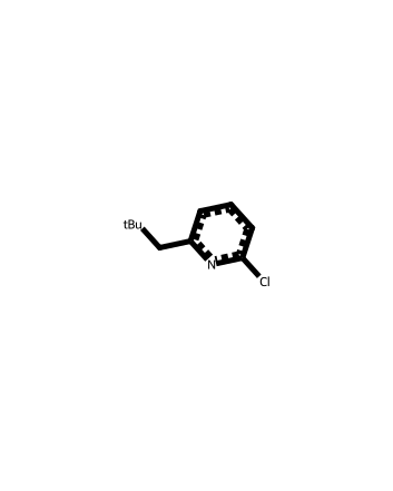 CC(C)(C)Cc1cccc(Cl)n1